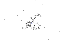 CCOC(=O)/N=c1\scc(C)n1CC1CCCCC1